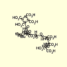 CC(C)(C)[Si](F)(c1ccc(C(=O)N[C@H](CNC(=O)CCC(C(=O)O)N2CCN(CC(=O)O)CCN(CC(=O)O)CCN(CC(=O)O)CC2)C(=O)N[C@H](CCCCNC(=O)CCC(=O)NCCC[C@@H](NC(=O)CC[C@H](NC(=O)N[C@@H](CCC(=O)O)C(=O)O)C(=O)O)C(=O)O)C(=O)O)cc1)C(C)(C)C